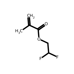 C=C(C)C(=O)OCC(F)F